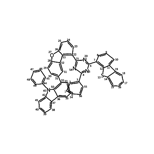 c1ccc(-c2nc(-c3cccc4c3sc3ccccc34)nc(-c3cccc4oc5ccc(-c6cccc7c8ccccc8n(-c8ccccc8)c67)cc5c34)n2)cc1